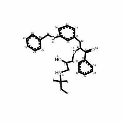 CCC(C)(C)NCC(O)COC(Cc1cccc(OCc2ccccc2)c1)C(=O)c1ccccc1